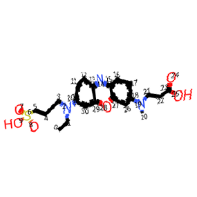 CC/[N+](CCCS(=O)(=O)O)=c1/ccc2nc3ccc(N(C)CCC(=O)O)cc3oc-2c1